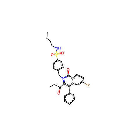 CCCCNS(=O)(=O)c1ccc(Cn2c(C(=O)CC)c(-c3ccccc3)c3cc(Br)ccc3c2=O)cc1